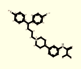 C=C(Nc1cccc(C2CCN(CCCC(c3ccc(F)cc3)c3ccc(F)cc3)CC2)c1)C(C)C